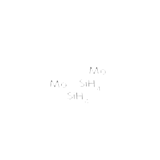 [Mo].[Mo].[SiH4].[SiH4]